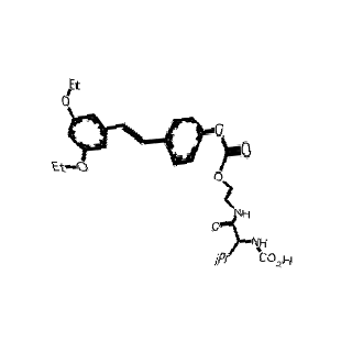 CCOc1cc(C=Cc2ccc(OC(=O)OCCNC(=O)C(NC(=O)O)C(C)C)cc2)cc(OCC)c1